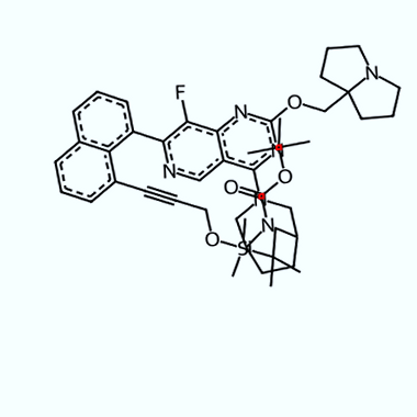 CC(C)(C)OC(=O)N1C2CCC1CN(c1nc(OCC34CCCN3CCC4)nc3c(F)c(-c4cccc5cccc(C#CCO[Si](C)(C)C(C)(C)C)c45)ncc13)C2